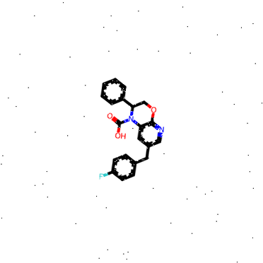 O=C(O)N1c2cc(Cc3ccc(F)cc3)cnc2OCC1c1ccccc1